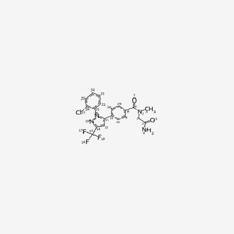 CN(CC(N)=O)C(=O)c1ccc(-c2cc(C(F)(F)F)nn2-c2ccccc2Cl)cc1